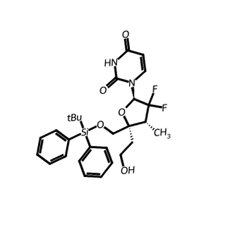 C[C@H]1C(F)(F)[C@H](n2ccc(=O)[nH]c2=O)O[C@]1(CCO)CO[Si](c1ccccc1)(c1ccccc1)C(C)(C)C